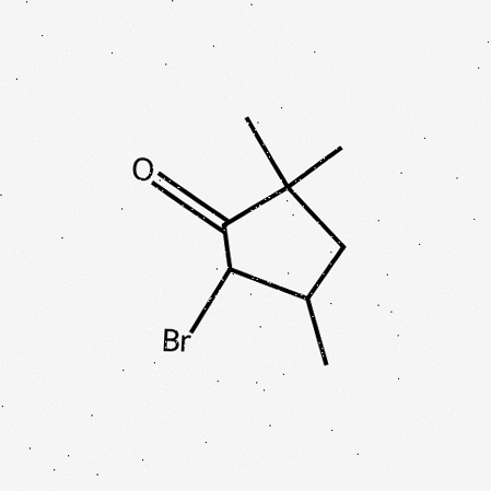 CC1CC(C)(C)C(=O)C1Br